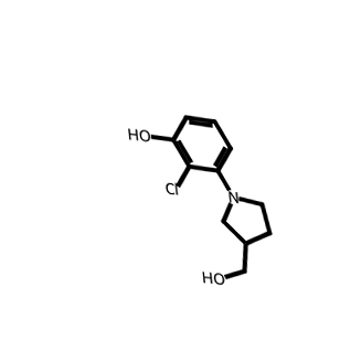 OCC1CCN(c2cccc(O)c2Cl)C1